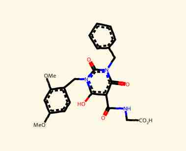 COc1ccc(Cn2c(O)c(C(=O)NCC(=O)O)c(=O)n(Cc3ccccc3)c2=O)c(OC)c1